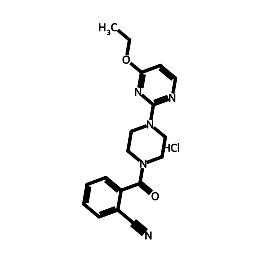 CCOc1ccnc(N2CCN(C(=O)c3ccccc3C#N)CC2)n1.Cl